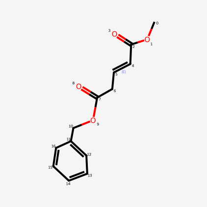 COC(=O)/C=C/CC(=O)OCc1ccccc1